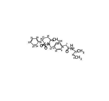 C=CC(C)NC(=O)Cc1ccc(CN2[C@@H](C)CCC(c3ccccc3)S2(=O)=O)cc1